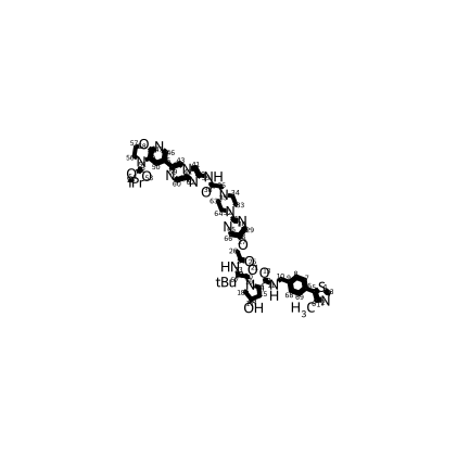 Cc1ncsc1-c1ccc(CNC(=O)[C@@H]2C[C@@H](O)CN2C(=O)[C@@H](NC(=O)COc2cnc(N3CCN(CC(=O)Nc4cn5cc(-c6cnc7c(c6)N(C(=O)OC(C)C)CCO7)ncc5n4)CC3)nc2)C(C)(C)C)cc1